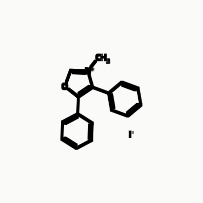 C[n+]1coc(-c2ccccc2)c1-c1ccccc1.[I-]